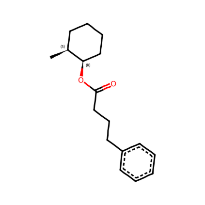 C[C@H]1CCCC[C@H]1OC(=O)CCCc1ccccc1